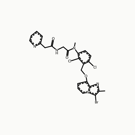 Cc1nc2c(OCc3c(Cl)ccc(N(C)C(=O)CNC(=O)Cc4ccccn4)c3Cl)cccn2c1Br